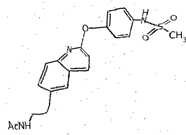 CC(=O)NCCc1ccc2nc(Oc3ccc(NS(C)(=O)=O)cc3)ccc2c1